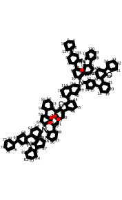 c1ccc(-c2ccc(-c3ccc(N(c4ccc(-c5ccccc5-c5cccc6c5oc5ccccc56)cc4)c4ccc5c(-c6cccc7c6oc6c(-c8ccccc8-c8ccc(N(c9ccc(-c%10ccc(-c%11ccccc%11)cc%10-n%10c%11ccccc%11c%11ccccc%11%10)cc9)c9ccccc9-c9ccccc9)cc8)cccc67)cccc5c4)cc3)c(-n3c4ccccc4c4ccccc43)c2)cc1